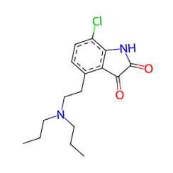 CCCN(CCC)CCc1ccc(Cl)c2c1C(=O)C(=O)N2